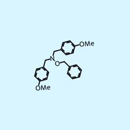 COc1ccc(CN(Cc2ccc(OC)cc2)OCc2ccccc2)cc1